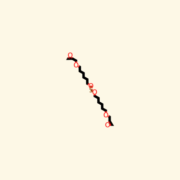 C(CCCOSOCCCCCCOCC1CO1)CCOCC1CO1